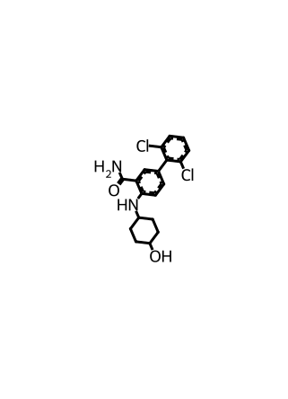 NC(=O)c1cc(-c2c(Cl)cccc2Cl)ccc1NC1CCC(O)CC1